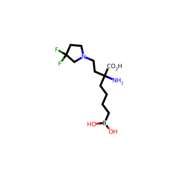 NC(CCCCB(O)O)(CCN1CCC(F)(F)C1)C(=O)O